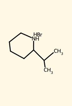 Br.CC(C)C1CCCCN1